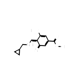 BC1=CC(C(=O)OC)=CC(=N)/C1=C\NCC1CC1